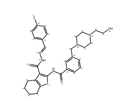 O=C(Nc1sc2c(c1C(=O)NN=Cc1ccc(F)cc1)CCCC2)c1cccc(CN2CCN(CCO)CC2)c1